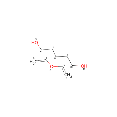 C=COC=C.OCCCCCO